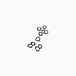 c1ccc2c(c1)-c1ccccc1C21c2ccccc2-c2cc(-c3ccc(N(c4ccc5ccccc5c4)c4cccc5ccccc45)cc3)ccc21